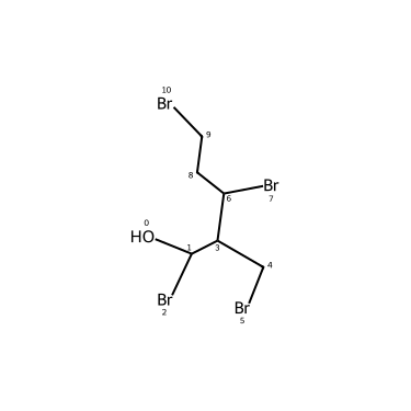 OC(Br)C(CBr)C(Br)CCBr